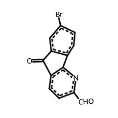 O=Cc1ccc2c(n1)-c1ccc(Br)cc1C2=O